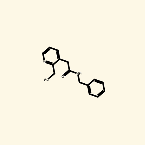 O=C(Cc1cccnc1CO)NCc1ccccc1